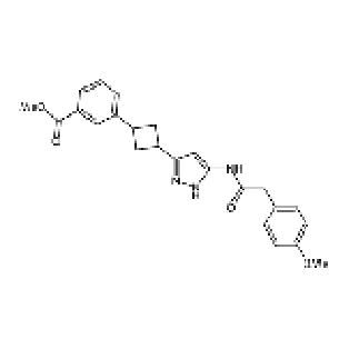 COC(=O)c1cccc(C2CC(c3cc(NC(=O)Cc4ccc(OC)cc4)[nH]n3)C2)c1